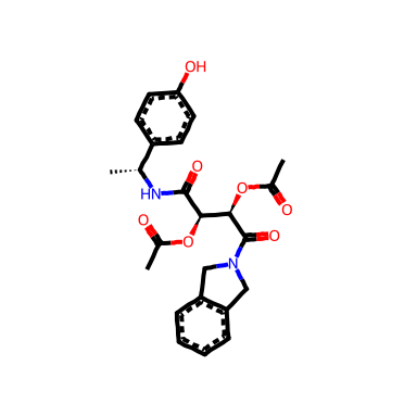 CC(=O)O[C@@H](C(=O)N[C@H](C)c1ccc(O)cc1)[C@@H](OC(C)=O)C(=O)N1Cc2ccccc2C1